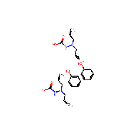 C=CCN(CC=C)NC(=O)O.C=CCN(CC=C)NC(=O)O.Oc1ccccc1.Oc1ccccc1